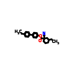 CCc1ccc(-c2ccc(OC(=O)C3(C#N)CCCC(CC)C3)cc2)cc1